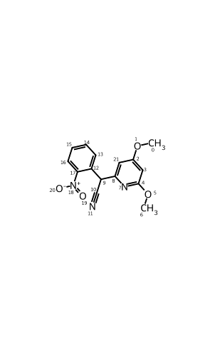 COc1cc(OC)nc(C(C#N)c2ccccc2[N+](=O)[O-])c1